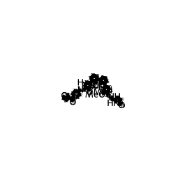 COc1nc(-c2cccc(-c3cccc(-c4cnc(CNC5CCN(C(=O)c6ccoc6)CC5)c(OC)n4)c3Cl)c2Cl)cnc1CNCC1CCC(=O)N1